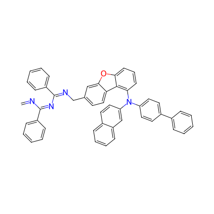 C=N/C(=N\C(=N/Cc1ccc2c(c1)oc1cccc(N(c3ccc(-c4ccccc4)cc3)c3ccc4ccccc4c3)c12)c1ccccc1)c1ccccc1